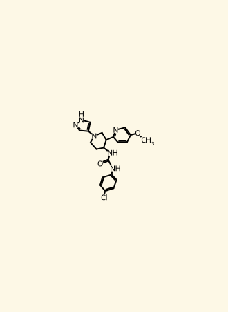 COc1ccc(C2CN(c3cn[nH]c3)CCC2NC(=O)Nc2ccc(Cl)cc2)nc1